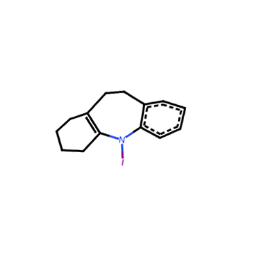 IN1C2=C(CCCC2)CCc2ccccc21